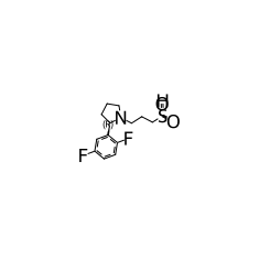 O=[SH](=O)CCCN1CCC[C@@H]1c1cc(F)ccc1F